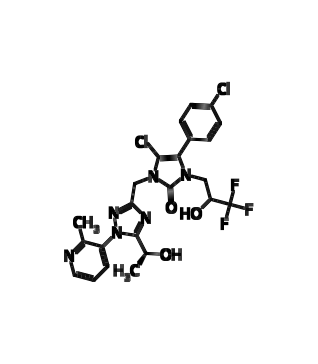 Cc1ncccc1-n1nc(Cn2c(Cl)c(-c3ccc(Cl)cc3)n(CC(O)C(F)(F)F)c2=O)nc1[C@H](C)O